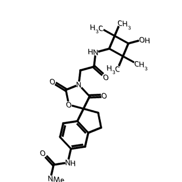 CNC(=O)Nc1ccc2c(c1)CCC21OC(=O)N(CC(=O)NC2C(C)(C)C(O)C2(C)C)C1=O